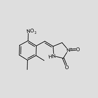 Cc1ccc([N+](=O)[O-])c(C=C2C[N+](=O)C(=O)N2)c1C